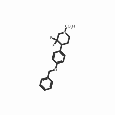 O=C(O)N1CCC(c2ccc(OCc3ccccc3)cc2)C(F)(F)C1